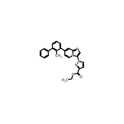 CCOC(=O)c1ccn(-c2cnc3cc(-c4cccc(-c5ccccc5)c4C)ccn23)n1